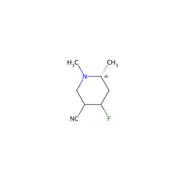 C[C@@H]1CC(F)C(C#N)CN1C